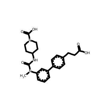 CN(C(=O)NC1CCN(C(=O)O)CC1)c1cccc(-c2ccc(CCC(=O)O)cc2)c1